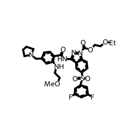 CCOCCOC(=O)n1nc(NC(=O)c2ccc(CN3CCCC3)cc2NCCOC)c2cc(S(=O)(=O)c3cc(F)cc(F)c3)ccc21